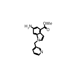 COC(=O)c1cc(N)cc2c1ccn2Cc1cccnc1